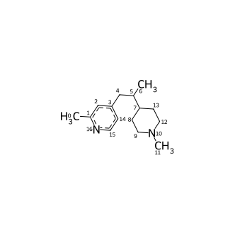 Cc1cc(CC(C)C2CCN(C)CC2)ccn1